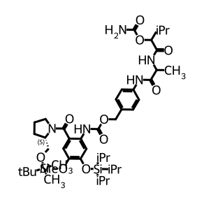 COc1cc(C(=O)N2CCC[C@H]2CO[Si](C)(C)C(C)(C)C)c(NC(=O)OCc2ccc(NC(=O)C(C)NC(=O)C(OC(N)=O)C(C)C)cc2)cc1O[Si](C(C)C)(C(C)C)C(C)C